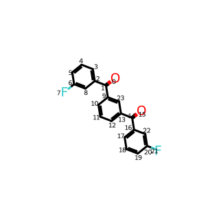 O=C(c1cccc(F)c1)c1cccc(C(=O)c2cccc(F)c2)c1